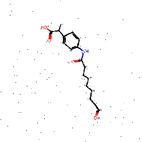 CC(C(=O)O)c1ccc(NC(=O)CCCCCC[C]=O)cc1